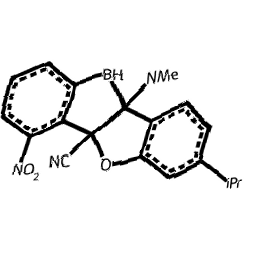 CNC12Bc3cccc([N+](=O)[O-])c3C1(C#N)Oc1cc(C(C)C)ccc12